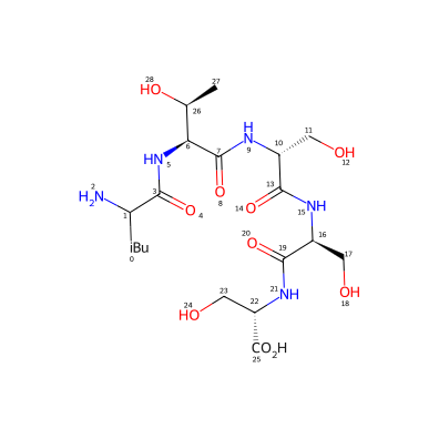 CCC(C)C(N)C(=O)N[C@H](C(=O)N[C@H](CO)C(=O)N[C@@H](CO)C(=O)N[C@@H](CO)C(=O)O)[C@H](C)O